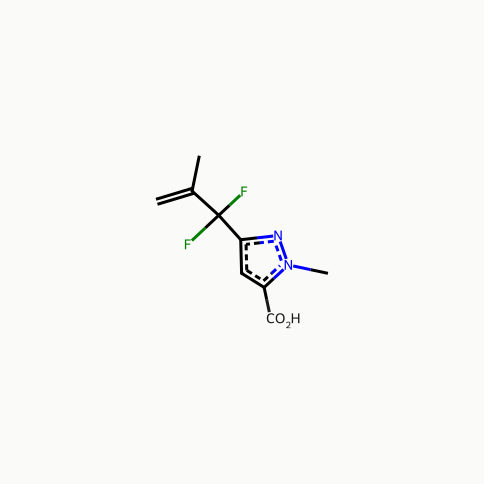 C=C(C)C(F)(F)c1cc(C(=O)O)n(C)n1